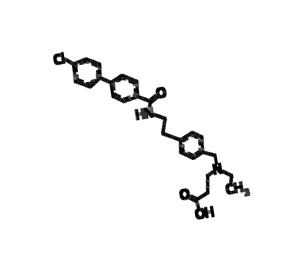 CCN(CCC(=O)O)Cc1ccc(CCNC(=O)c2ccc(-c3ccc(Cl)cc3)cc2)cc1